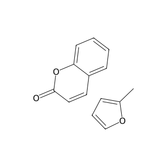 Cc1ccco1.O=c1ccc2ccccc2o1